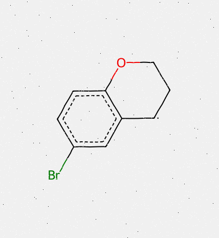 Brc1ccc2c(c1)[CH]CCO2